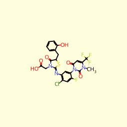 Cn1c(C(F)(F)F)cc(=O)n(-c2cc(N=C3SC(Cc4ccccc4O)C(=O)N3CC(=O)O)c(Cl)cc2F)c1=O